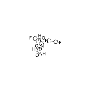 CNC(=O)C(C)(C)NS(=O)(=O)c1cc(Nc2ccc(F)cc2C)c(C(=O)N2CCC(c3ccc(F)cc3)CC2)cn1